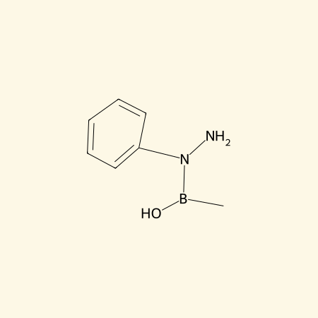 CB(O)N(N)c1ccccc1